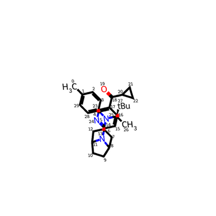 Cc1ccc(N(C2CC3CCC(C2)N3c2ccc(C(=O)C3CC3)cn2)[C@H](C)C(C)(C)C)cc1